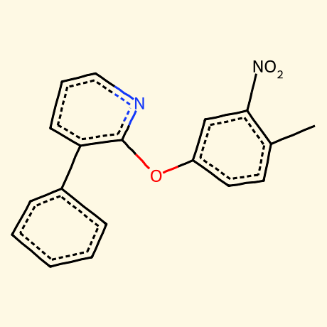 Cc1ccc(Oc2ncccc2-c2ccccc2)cc1[N+](=O)[O-]